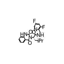 CC(C)C[C@@H](C(=O)N[C@@H](C)c1ncc(F)cc1F)n1c(=O)[nH]c2ccccc2c1=O